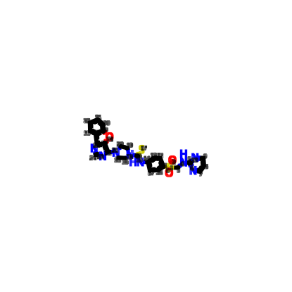 O=S(=O)(CNc1ncccn1)c1ccc(NC(=S)N2CCN(c3ncnc4c3oc3ccccc34)CC2)cc1